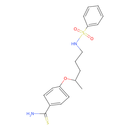 CC(CCCNS(=O)(=O)c1ccccc1)Oc1ccc(C(N)=S)cc1